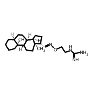 C[C@]12CC[C@H]3[C@@H](CC[C@@H]4CCCC[C@@]43C)[C@H]1CC[C@@H]2/C=N/OCCNC(=N)N